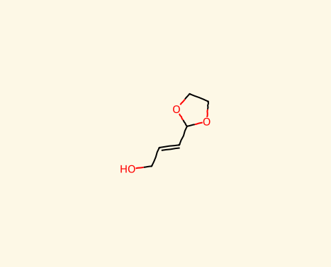 OC/C=C/C1OCCO1